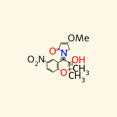 COC1=CC(=O)N([C@@H]2c3cc([N+](=O)[O-])ccc3OC(C)(C)[C@H]2O)C1